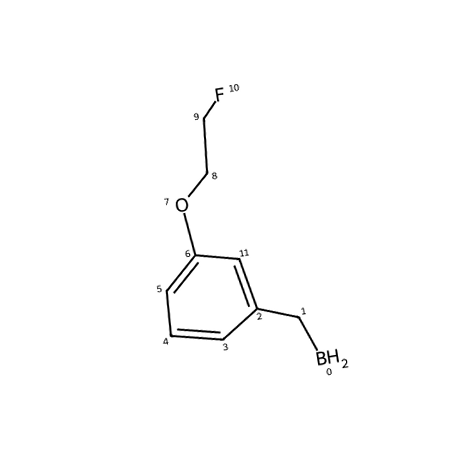 BCc1cccc(OCCF)c1